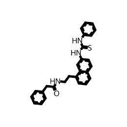 O=C(Cc1ccccc1)NCCc1cccc2ccc(NC(=S)Nc3ccccc3)cc12